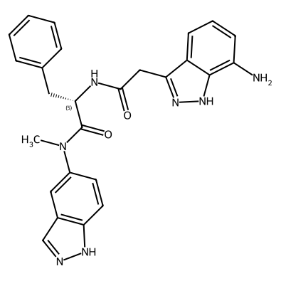 CN(C(=O)[C@H](Cc1ccccc1)NC(=O)Cc1n[nH]c2c(N)cccc12)c1ccc2[nH]ncc2c1